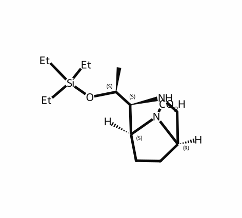 CC[Si](CC)(CC)O[C@@H](C)[C@H]1NC[C@H]2CC[C@@H]1N2C(=O)O